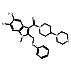 Cn1c(CSc2ccccc2)c(C(=O)N2CCC(N3CCOCC3)CC2)c2cc(O)c(Br)cc21